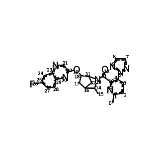 Cc1ccc(-n2nccn2)c(C(=O)N2C(C)C3CC(Oc4cnc5cc(F)ccc5n4)C2C3)n1